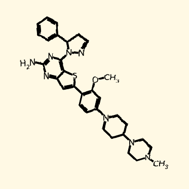 COc1cc(N2CCC(N3CCN(C)CC3)CC2)ccc1-c1cc2nc(N)nc(N3N=CCC3c3ccccc3)c2s1